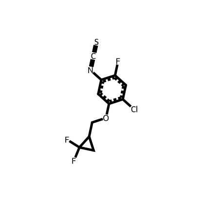 Fc1cc(Cl)c(OCC2CC2(F)F)cc1N=C=S